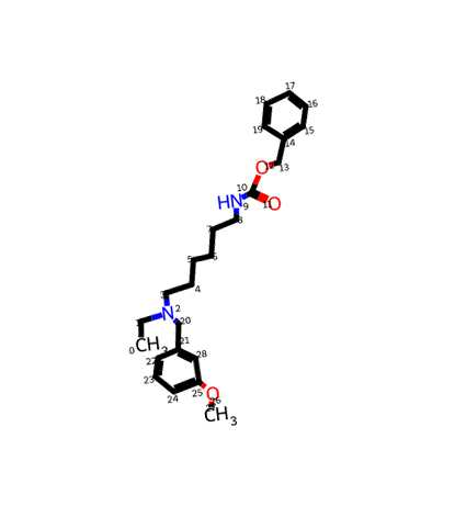 CCN(CCCCCCNC(=O)OCc1ccccc1)Cc1cccc(OC)c1